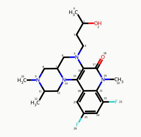 CC(O)CCN1CC2CN(C)C(C)CN2c2c1c(=O)n(C)c1c(F)cc(F)cc21